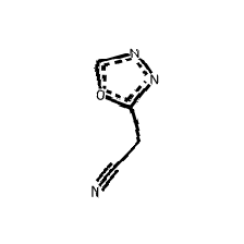 N#CCc1nnco1